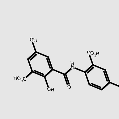 O=C(O)c1cc(O)ccc1NC(=O)c1cc(O)cc(C(=O)O)c1O